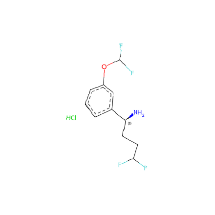 Cl.N[C@@H](CCC(F)F)c1cccc(OC(F)F)c1